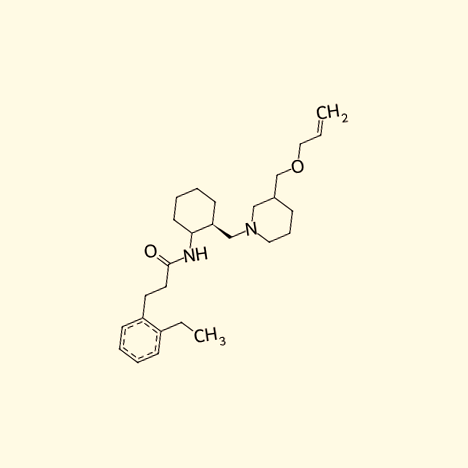 C=CCOCC1CCCN(C[C@@H]2CCCCC2NC(=O)CCc2ccccc2CC)C1